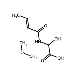 CC=CC(=O)NC(O)C(=O)O.COC